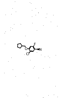 N#Cc1cc(Cl)c(OCC2CCCC2)cc1F